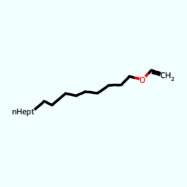 C=COCCCCCCCCCCCCCCCC